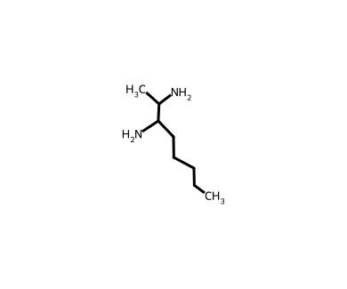 CCCCCC(N)C(C)N